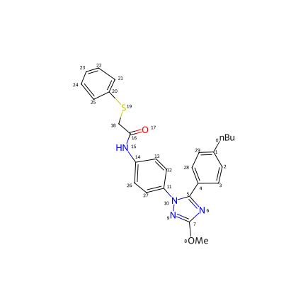 CCCCc1ccc(-c2nc(OC)nn2-c2ccc(NC(=O)CSc3ccccc3)cc2)cc1